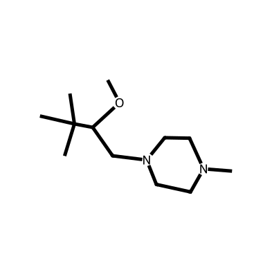 COC(CN1CCN(C)CC1)C(C)(C)C